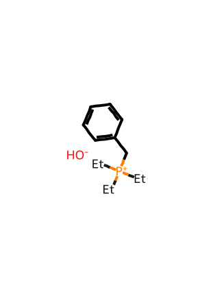 CC[P+](CC)(CC)Cc1ccccc1.[OH-]